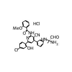 COc1ccccc1C(=O)Nc1nc(-c2ccc(Cl)cc2O)cc(-c2cccc(N[C@](C)(N)C=O)c2)c1C#N.Cl